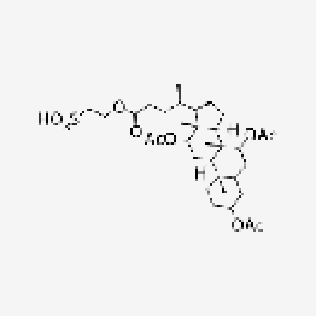 CC(=O)OC1CC[C@@]2(C)C(C1)CC(OC(C)=O)[C@@]1(C)[C@@H]3CC[C@H]([C@H](C)CCC(=O)OCCS(=O)(=O)O)[C@@]3(C)C(OC(C)=O)C[C@@H]12